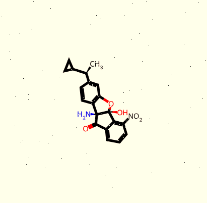 C[C@@H](c1ccc2c(c1)O[C@]1(O)c3c(cccc3[N+](=O)[O-])C(=O)[C@]21N)C1CC1